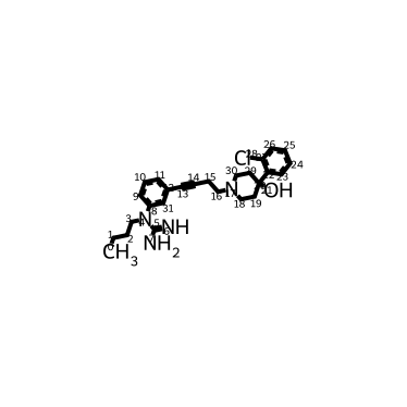 CCCCN(C(=N)N)c1cccc(C#CCCN2CCC(O)(c3ccccc3Cl)CC2)c1